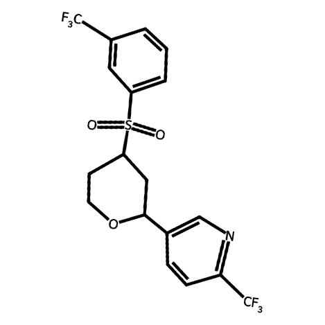 O=S(=O)(c1cccc(C(F)(F)F)c1)C1CCOC(c2ccc(C(F)(F)F)nc2)C1